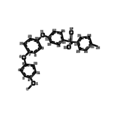 COc1ccc(Oc2ccc(Oc3ccc(S(=O)(=O)c4ccc(C)cc4)cc3)cc2)cc1